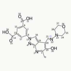 Cc1nc2nn(-c3cc(C(=O)O)cc(C(=O)O)c3)cc2c(/C=N/N2CCOCC2)c1O